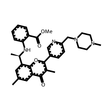 COC(=O)c1ccccc1N[C@H](C)c1cc(C)cc2c(=O)c(C)c(-c3ccc(CN4CCN(C)CC4)nc3)oc12